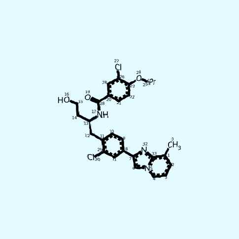 Cc1cccn2cc(-c3ccc(C[C@@H](CCO)NC(=O)c4ccc(OC(C)C)c(Cl)c4)c(Cl)c3)nc12